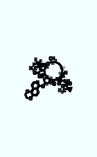 C[C@@H]1CC/C=C\[C@@H]2C[C@@]2(C(=O)NS(=O)(=O)C2(C)CC2)NC(=O)[C@@H]2C[C@@H](Oc3nccc4c5c(ccc34)OCCO5)CN2C(=O)[C@@H](N(C(=O)O)C(C)(C)C(F)(F)F)[C@H](C)O1